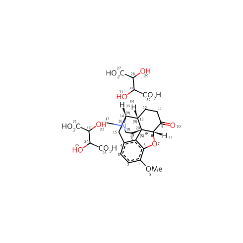 COc1ccc2c3c1O[C@H]1C(=O)CC[C@H]4[C@@H](C2)N(C)CC[C@]314.O=C(O)C(O)C(O)C(=O)O.O=C(O)C(O)C(O)C(=O)O